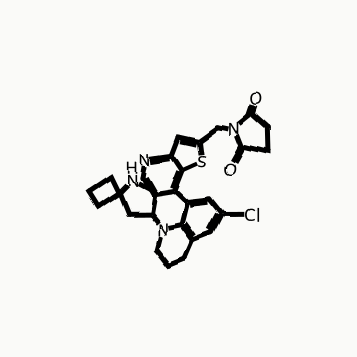 O=C1CCC(=O)N1Cc1cc2nccc(-c3cc(Cl)cc4c3N(C3CNC5(CCC5)C3)CCC4)c2s1